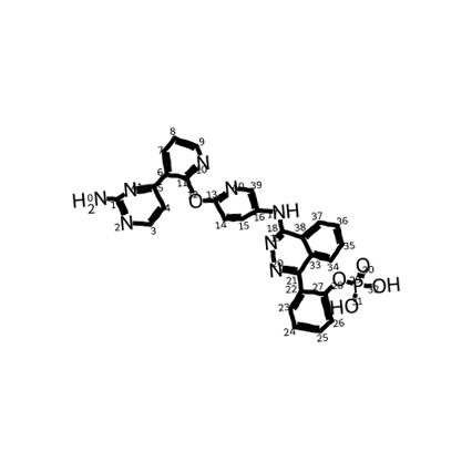 Nc1nccc(-c2cccnc2Oc2ccc(Nc3nnc(-c4ccccc4OP(=O)(O)O)c4ccccc34)cn2)n1